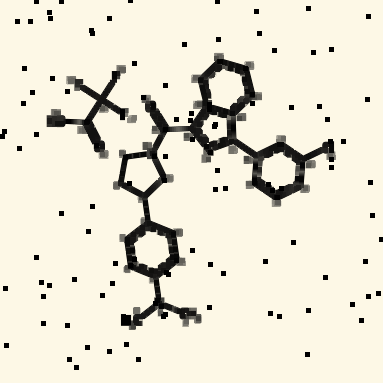 CN(C)c1ccc(C2CCN(C(=O)c3nc(-c4cccc(Cl)c4)c4ccccn34)C2)cc1.O=C(O)C(F)(F)F